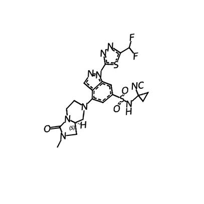 CN1C[C@@H]2CN(c3cc(S(=O)(=O)NC4(C#N)CC4)cc4c3cnn4-c3nnc(C(F)F)s3)CCN2C1=O